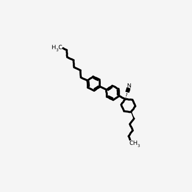 CCCCCCCc1ccc(-c2ccc([C@]3(C#N)CC[C@H](CCCCC)CC3)cc2)cc1